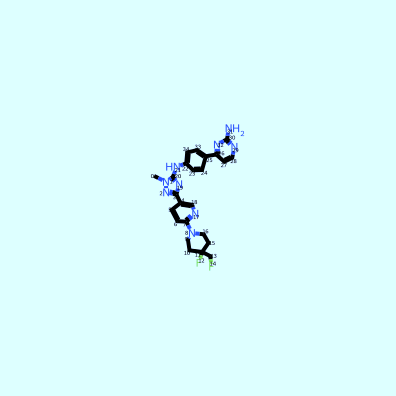 Cn1nc(-c2ccc(N3CCC(F)(CF)CC3)nc2)nc1Nc1ccc(-c2ccnc(N)n2)cc1